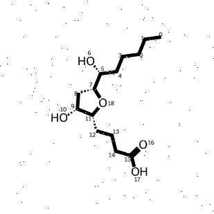 CCCCC[C@@H](O)[C@H]1C[C@@H](O)[C@@H](CCCC(=O)O)O1